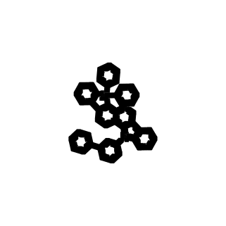 c1ccc(-c2cccc(-n3c4ccccc4c4cnc5c6c(ccc5c43)-c3ccccc3[Si]6(c3ccccc3)c3ccccc3)c2)cc1